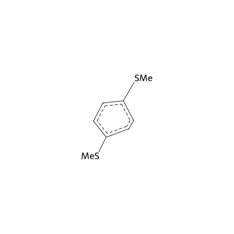 [CH2]Sc1ccc(SC)cc1